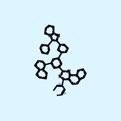 C/C=C\C(=C/C)c1nc(-c2cc(-c3cccc(-c4nc5ccccn5c4-c4ccccc4)c3)cc(-c3cccc4ccccc34)c2)nc2c1ccc1ccccc12